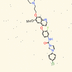 COc1cc2c(Oc3ccc(NC(=O)N4C=CN(c5ccc(Cl)cc5)C4)cc3F)ccnc2cc1OCCCN1CCCCC1